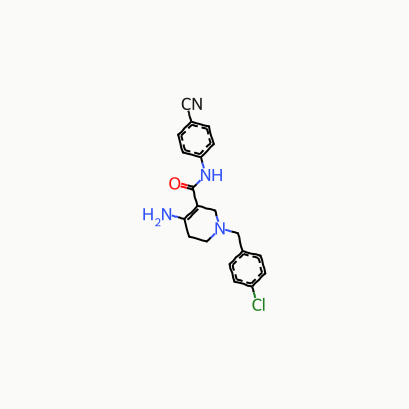 N#Cc1ccc(NC(=O)C2=C(N)CCN(Cc3ccc(Cl)cc3)C2)cc1